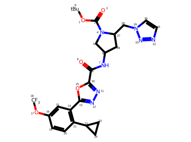 CC(C)(C)OC(=O)N1CC(NC(=O)c2nnc(-c3cc(OC(F)(F)F)ccc3C3CC3)o2)CC1Cn1ccnn1